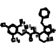 Cc1cc(O)cc(C)c1C[C@H](N)C(=O)N[C@@H]1CCNc2[nH]nc(Cc3ccccc3)c21